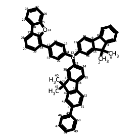 CC1(C)c2ccccc2-c2ccc(N(c3ccc(-c4cccc5c4oc4ccccc45)cc3)c3ccc4c(c3)C(C)(C)c3cc(-c5ccccc5)ccc3-4)cc21